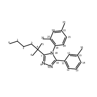 CCCCC(C)(C)c1nnc(-c2cccc(C)c2)n1-c1ccc(C)cc1C